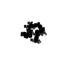 CCC(C)(CCN1CCN(C(=O)c2ccc(Nc3nc(-c4cccc(NC(=O)c5ccc(C(C)(C)C)cc5)c4C)cn(C)c3=O)cc2)CC1)CC(C)(C)CCNC(=O)CNc1cccc2c1C(=O)N(C1CCC(=O)NC1=O)C2=O